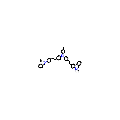 CCN(Cc1ccccc1)c1ccc(CCc2ccc(N(c3ccc(C)cc3)c3ccc(CCc4ccc(N(CC)Cc5ccccc5)cc4)cc3)cc2)cc1